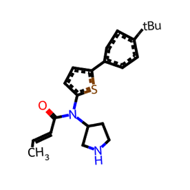 CC=CC(=O)N(c1ccc(-c2ccc(C(C)(C)C)cc2)s1)C1CCNC1